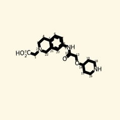 O=C(O)CN1CCc2ccc(NC(=O)COC3CCNCC3)cc2C1